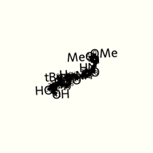 COc1ccc(CNC(=O)c2ccc(CNC(=O)Cc3cccc(C[C@@H](C)NC[C@H](O[Si](C)(C)C(C)(C)C)c4ccc(O)c(CO)c4)c3)cc2)cc1OC